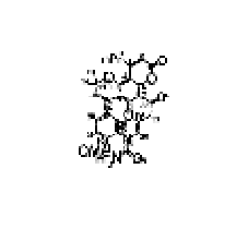 CCCc1[c]c(=O)oc2c3c(c4c(c12)OC(C)(C)C=C4)OC(=CN(C(N)=O)c1ccccc1OC)CC3=O